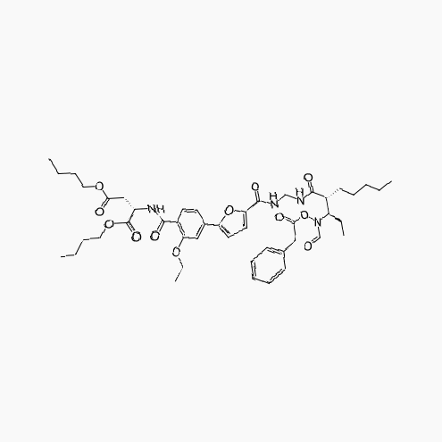 CCCCC[C@@H](C(=O)NCNC(=O)c1ccc(-c2ccc(C(=O)N[C@@H](CC(=O)OCCCC)C(=O)OCCCC)c(OCC)c2)o1)[C@@H](CC)N(C=O)OC(=O)Cc1ccccc1